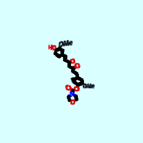 COc1cc(C=CC(=O)CC(=O)C=Cc2ccc(OC(=O)N3CCOCC3)c(OC)c2)ccc1O